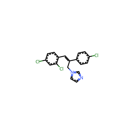 Clc1ccc(C(=Cc2ccc(Cl)cc2Cl)Cn2ccnc2)cc1